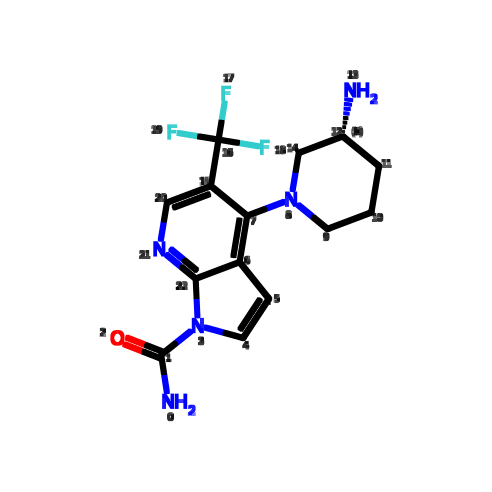 NC(=O)n1c[c]c2c(N3CCC[C@@H](N)C3)c(C(F)(F)F)cnc21